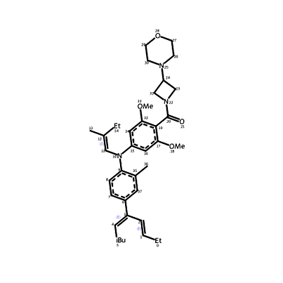 CC/C=C/C(=C\C(C)CC)c1ccc(N(/C=C(/C)CC)c2cc(OC)c(C(=O)N3CC(N4CCOCC4)C3)c(OC)c2)c(C)c1